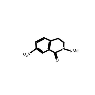 CNN1CCc2ccc([N+](=O)[O-])cc2C1=O